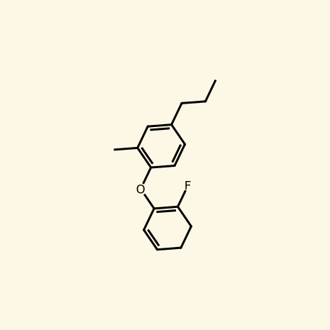 CCCc1ccc(OC2=C(F)CCC=C2)c(C)c1